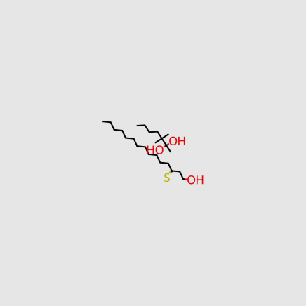 CCCCC(C)(C)C(C)(O)O.CCCCCCCCCCCCC(=S)CCO